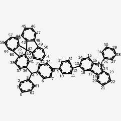 c1ccc(C(c2ccc(-c3ccc(-c4ccc5c(c4)c4ccccc4n5-c4ccccc4)cc3)cc2)c2ccc3c(c2)C2(c4ccccc4-c4ccccc42)c2ccccc2-3)cc1